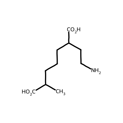 CC(CCCC(CCN)C(=O)O)C(=O)O